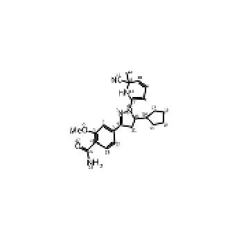 COc1cc(C2=NN(C3=CC=CC(C)(C#N)N3)C(C3CCCC3)C2)ccc1C(N)=O